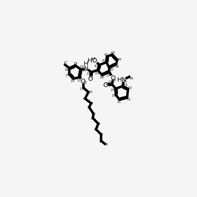 CCCCCCCCCCCCOc1ccc(C)cc1NC(=O)c1cc(OC(=O)c2ccccc2NC)c2ccccc2c1O